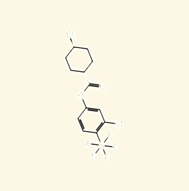 CC[C@H]1CC[C@H](C(=O)Oc2ccc(S(F)(F)(F)(F)F)c(Cl)c2)CC1